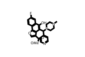 COC(=O)c1coc2c1c(C(c1ccncc1)N1CCN(C)CC1)c(O)c1cc(F)ccc12